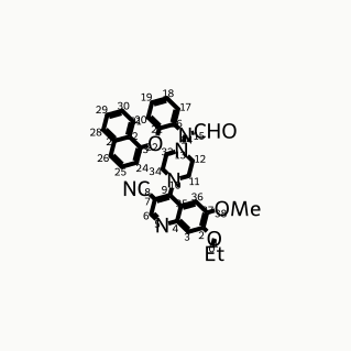 CCOc1cc2ncc(C#N)c(N3CCN(N(C=O)c4ccccc4Oc4cccc5ccccc45)CC3)c2cc1OC